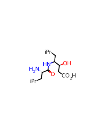 CC(C)C[C@H](NC(=O)[C@@H](N)CC(C)C)[C@@H](O)CC(=O)O